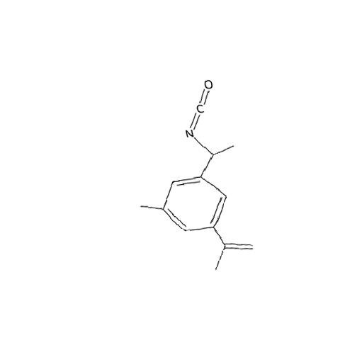 C=C(C)c1cc(C)cc(C(C)N=C=O)c1